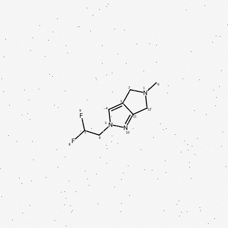 CN1Cc2cn(CC(F)F)nc2C1